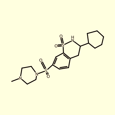 CN1CCN(S(=O)(=O)c2ccc3c(c2)S(=O)(=O)NC(C2CCCCC2)C3)CC1